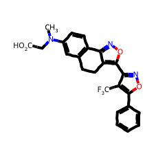 CN(CC(=O)O)c1ccc2c(c1)CCc1c-2noc1-c1noc(-c2ccccc2)c1C(F)(F)F